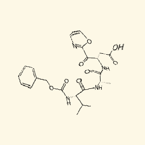 CC(C)[C@H](NC(=O)OCc1ccccc1)C(=O)N[C@@H](C)C(=O)N[C@@H](CC(=O)O)C(=O)c1ncco1